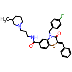 CC1CCCN(CCCNC(=O)c2ccc3c(c2)N(Cc2ccc(F)cc2)C(=O)C(=Cc2ccccc2)S3)C1